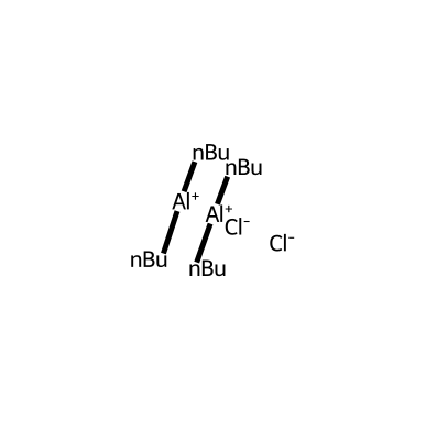 CCC[CH2][Al+][CH2]CCC.CCC[CH2][Al+][CH2]CCC.[Cl-].[Cl-]